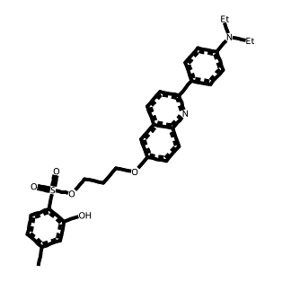 CCN(CC)c1ccc(-c2ccc3cc(OCCCOS(=O)(=O)c4ccc(C)cc4O)ccc3n2)cc1